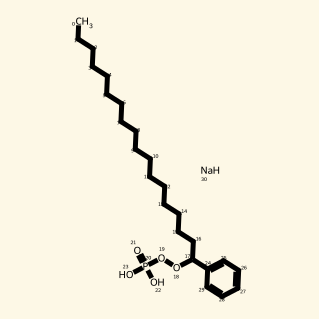 CCCCCCCCCCCCCCCCCC(OOP(=O)(O)O)c1ccccc1.[NaH]